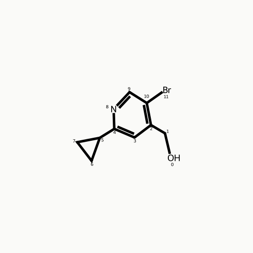 OCc1cc(C2CC2)ncc1Br